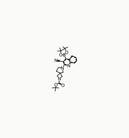 CC(C)(C)OC(=O)N1CC2(CCN(c3nc4ccccc4c(B4OC(C)(C)C(C)(C)O4)c3C#N)C2)C1